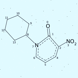 O=c1c([N+](=O)[O-])cccn1C1CCCCC1